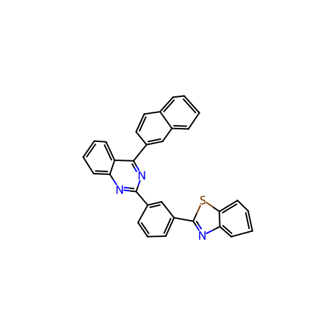 c1cc(-c2nc(-c3ccc4ccccc4c3)c3ccccc3n2)cc(-c2nc3ccccc3s2)c1